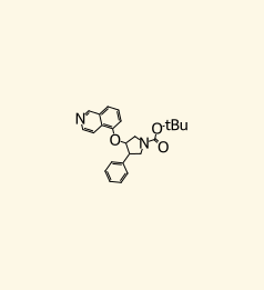 CC(C)(C)OC(=O)N1CC(Oc2cccc3cnccc23)C(c2ccccc2)C1